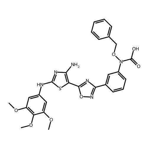 COc1cc(Nc2nc(N)c(-c3nc(-c4cccc(N(OCc5ccccc5)C(=O)O)c4)no3)s2)cc(OC)c1OC